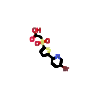 O=C(O)CS(=O)(=O)c1ccc(-c2ccc(Br)cn2)s1